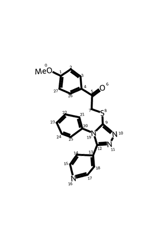 COc1ccc(C(=O)CSc2nnc(-c3ccncc3)n2-c2ccccc2)cc1